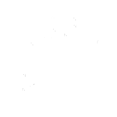 O=C(c1ccc(N2CCN3CCCC[C@H]3C2)cc1)N1CCC(O)(Cn2cnc3c(cnn3-c3ccc(F)cc3)c2=O)CC1